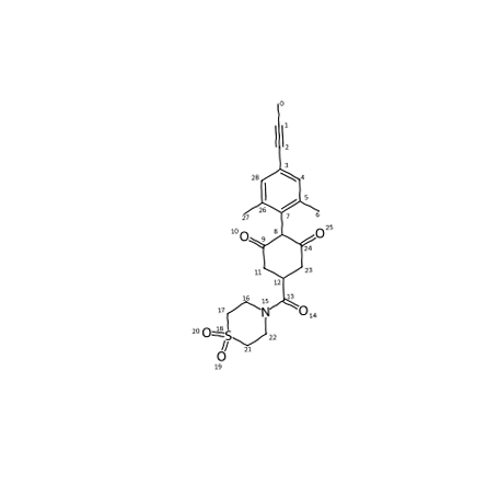 CC#Cc1cc(C)c(C2C(=O)CC(C(=O)N3CCS(=O)(=O)CC3)CC2=O)c(C)c1